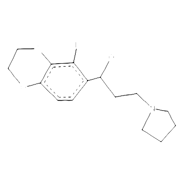 OC(CCN1CCCC1)c1ccc2c(c1F)OCCO2